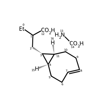 CCC(C[C@H]1[C@@H]2CC/C=C/CC[C@@H]21)C(=O)O.NC(=O)O